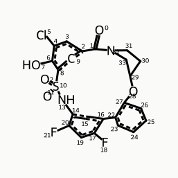 O=C1c2cc(Cl)c(O)c(c2)S(=O)(=O)Nc2cc(c(F)cc2F)-c2ccccc2OC2CCN1C2